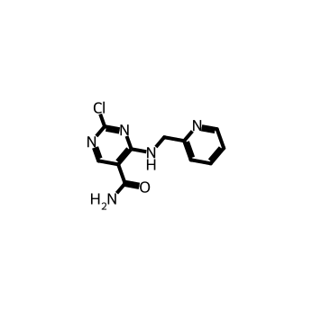 NC(=O)c1cnc(Cl)nc1NCc1ccccn1